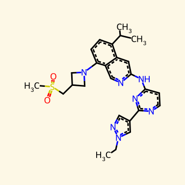 CCn1cc(-c2nccc(Nc3cc4c(C(C)C)ccc(N5CC(CS(C)(=O)=O)C5)c4cn3)n2)cn1